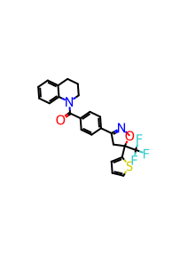 O=C(c1ccc(C2=NOC(c3cccs3)(C(F)(F)F)C2)cc1)N1CCCc2ccccc21